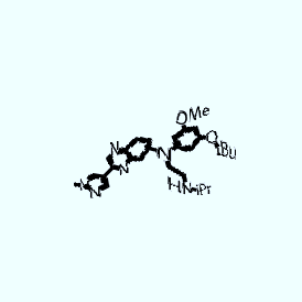 COc1cc(OC(C)(C)C)cc(N(CCNC(C)C)c2ccc3ncc(-c4cnn(C)c4)nc3c2)c1